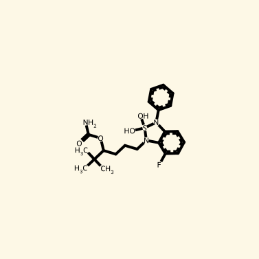 CC(C)(C)C(CCCN1c2c(F)cccc2N(c2ccccc2)S1(O)O)OC(N)=O